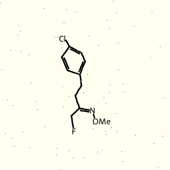 CON=C(CF)CCc1ccc(Cl)cc1